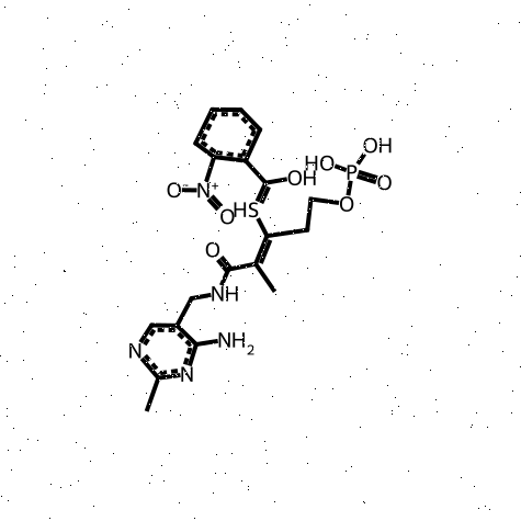 C/C(C(=O)NCc1cnc(C)nc1N)=C(CCOP(=O)(O)O)/[SH]=C(\O)c1ccccc1[N+](=O)[O-]